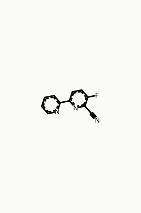 N#Cc1nc(-c2ccccn2)ccc1F